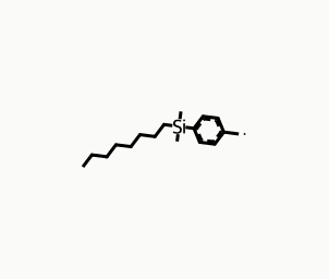 [CH2]c1ccc([Si](C)(C)CCCCCCCC)cc1